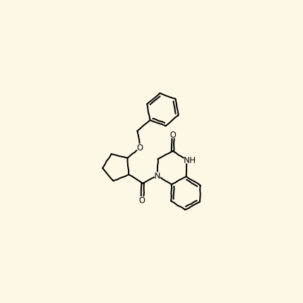 O=C1CN(C(=O)C2CCCC2OCc2ccccc2)c2ccccc2N1